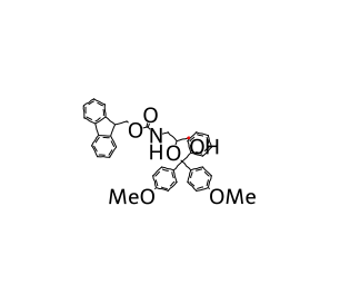 COc1ccc(C(OC(CO)CNC(=O)OCC2c3ccccc3-c3ccccc32)(c2ccccc2)c2ccc(OC)cc2)cc1